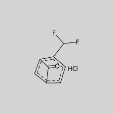 Cl.O=C1c2ccc(C(F)F)c1c2